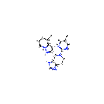 Cc1cnc(N2CCc3[nH]cnc3[C@@H]2c2cc3c(C)cccn3n2)nc1